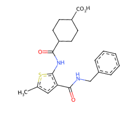 Cc1cc(C(=O)NCc2ccccc2)c(NC(=O)C2CCC(C(=O)O)CC2)s1